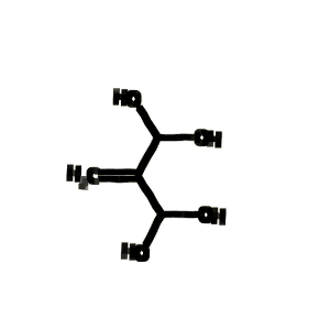 C=C(C(O)O)C(O)O